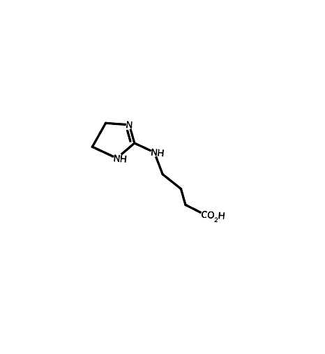 O=C(O)CCCNC1=NCCN1